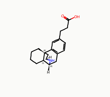 O=C(O)CCc1ccc2c(c1)[C@@]13CCCC[C@@H]1[C@@H](C2)NCC3